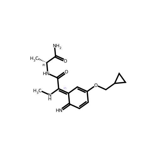 CN/C(C(=O)N[C@H](C)C(N)=O)=C1/C=C(OCC2CC2)C=CC1=N